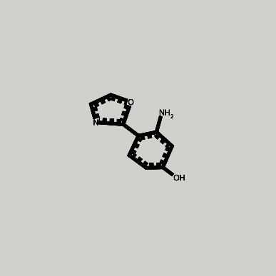 Nc1cc(O)ccc1-c1ncco1